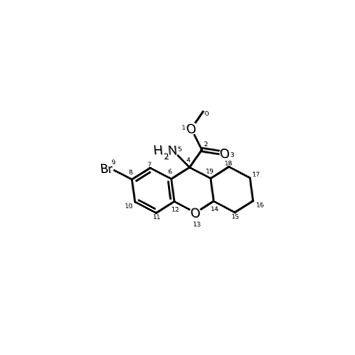 COC(=O)C1(N)c2cc(Br)ccc2OC2CCCCC21